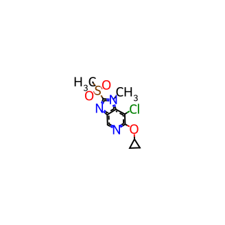 Cn1c(S(C)(=O)=O)nc2cnc(OC3CC3)c(Cl)c21